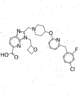 O=C(O)c1ccc2nc(CN3CCC(Oc4cccc(Cc5ccc(Cl)cc5F)n4)CC3)n(CC3CCO3)c2n1